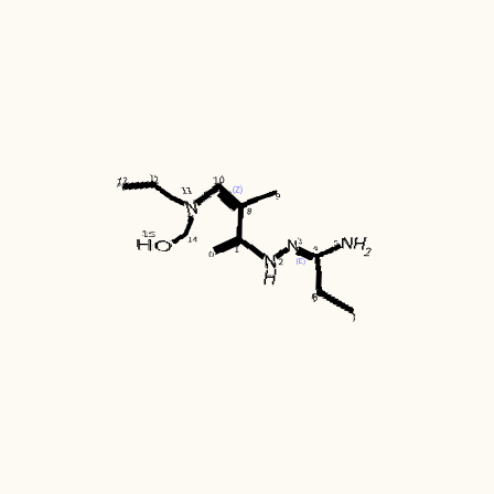 C=C(N/N=C(/N)CC)/C(C)=C\N(CC)CO